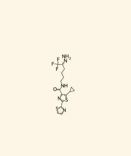 N/N=C(/CCCCNC(=O)c1nc(-c2nccs2)sc1C1CC1)C(F)(F)F